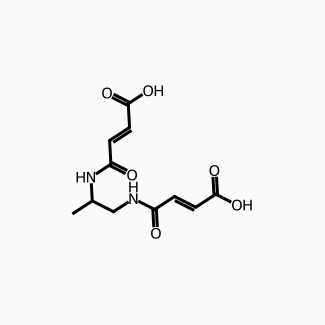 CC(CNC(=O)C=CC(=O)O)NC(=O)C=CC(=O)O